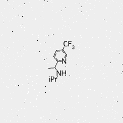 CC(C)NC(C)c1ccc(C(F)(F)F)cn1